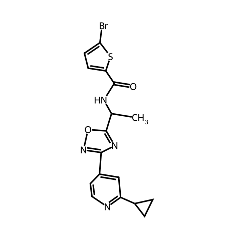 CC(NC(=O)c1ccc(Br)s1)c1nc(-c2ccnc(C3CC3)c2)no1